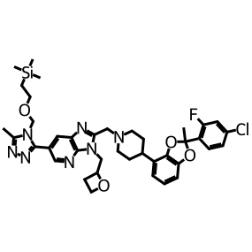 Cc1nnc(-c2cnc3c(c2)nc(CN2CCC(c4cccc5c4OC(C)(c4ccc(Cl)cc4F)O5)CC2)n3CC2CCO2)n1COCC[Si](C)(C)C